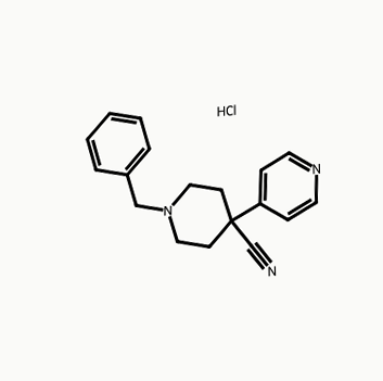 Cl.N#CC1(c2ccncc2)CCN(Cc2ccccc2)CC1